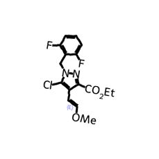 CCOC(=O)c1nn(Cc2c(F)cccc2F)c(Cl)c1/C=C/OC